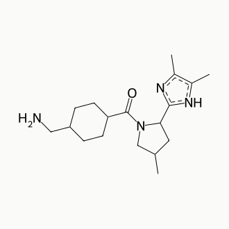 Cc1nc(C2CC(C)CN2C(=O)C2CCC(CN)CC2)[nH]c1C